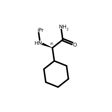 CC(C)N[C@@H](C(N)=O)C1CCCCC1